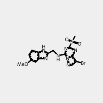 COc1ccc2[nH]c(CNc3nc(S(C)(=O)=O)nc4c(Br)cnn34)nc2c1